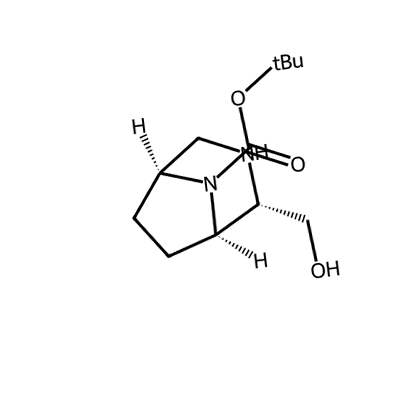 CC(C)(C)OC(=O)N1[C@H]2CC[C@@H]1[C@@H](CO)NC2